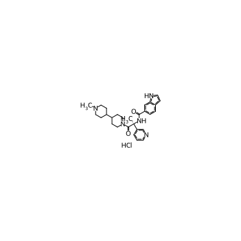 CN1CCC(C2CCN(C(=O)[C@@](C)(NC(=O)c3ccc4cc[nH]c4c3)c3cccnc3)CC2)CC1.Cl